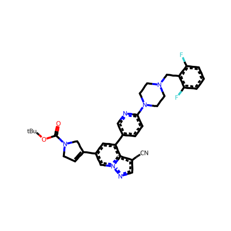 CC(C)(C)OC(=O)N1CC=C(c2cc(-c3ccc(N4CCN(Cc5c(F)cccc5F)CC4)nc3)c3c(C#N)cnn3c2)C1